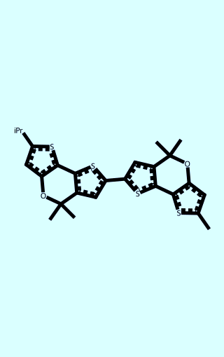 Cc1cc2c(s1)-c1sc(-c3cc4c(s3)-c3sc(C(C)C)cc3OC4(C)C)cc1C(C)(C)O2